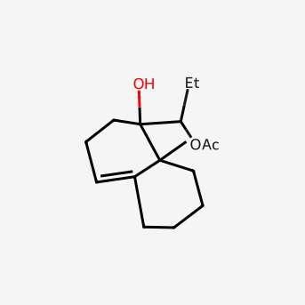 CCC(OC(C)=O)C1(O)CCC=C2CCCCC21C